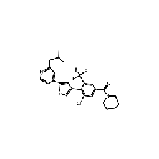 CC(C)Cc1cc(-c2cc(-c3c(Cl)cc(C(=O)N4CCCCC4)cc3C(F)(F)F)cs2)ccn1